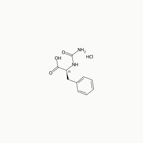 Cl.NC(=O)N[C@@H](Cc1ccccc1)C(=O)O